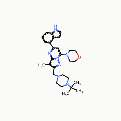 Cc1c(CN2CCN(C(C)(C)C)CC2)nn2c(N3CCOCC3)cc(-c3cccc4[nH]ccc34)nc12